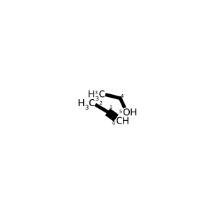 C#CC.CCO